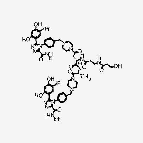 CCNC(=O)c1nnc(-c2cc(C(C)C)c(O)cc2O)n1-c1ccc(CN2CCN(C(=O)C[C@H](NC(=O)CCNC(=O)CCO)C(=O)N[C@H](C)C(=O)N3CCN(Cc4ccc(-n5c(C(=O)NCC)nnc5-c5cc(C(C)C)c(O)cc5O)cc4)CC3)CC2)cc1